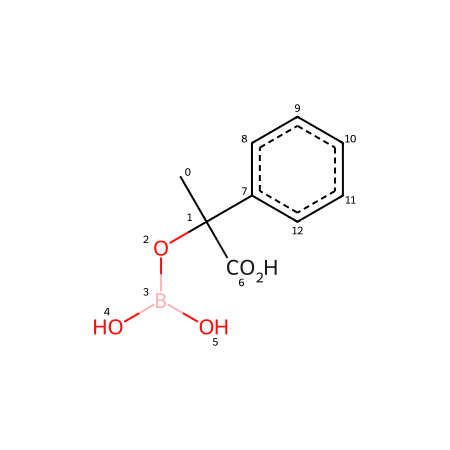 CC(OB(O)O)(C(=O)O)c1ccccc1